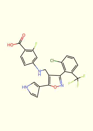 O=C(O)c1ccc(NCc2c(-c3c(Cl)cccc3C(F)(F)F)noc2-c2cc[nH]c2)cc1F